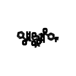 CC1(C)O[C@@H]2[C@@H](CNC(=O)c3ccc(F)cc3)OC[C@]2(CNC(=O)c2ccccc2)O1